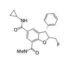 CNC(=O)c1cc(C(=O)NC2CC2)cc2c1OC(CF)[C@H]2c1ccccc1